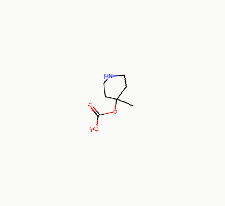 CC1(OC(=O)O)CCNCC1